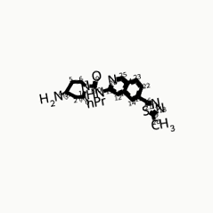 CCC[C@@H]1C[C@@H](N)CCN1C(=O)Nc1cc2cc(-c3nnc(C)s3)ccc2cn1